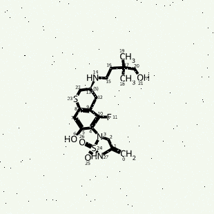 C=C1CN(c2c(O)cc3c(c2F)C[C@H](NCCC(C)(C)CO)CS3)S(=O)(=O)N1